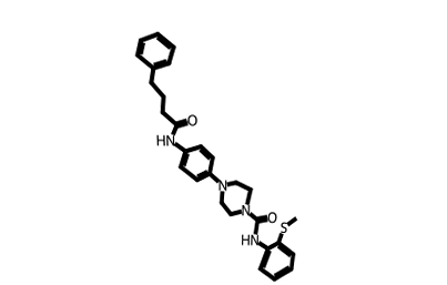 CSc1ccccc1NC(=O)N1CCN(c2ccc(NC(=O)CCCc3ccccc3)cc2)CC1